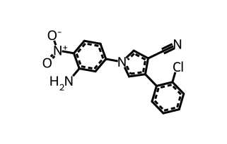 N#Cc1cn(-c2ccc([N+](=O)[O-])c(N)c2)cc1-c1ccccc1Cl